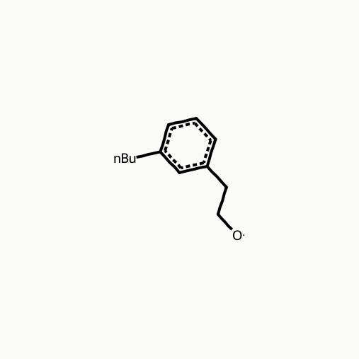 CCCCc1cccc(CC[O])c1